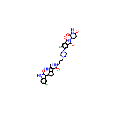 Cc1[nH]c2c(c1C(=O)NCCCN1CCN(c3cc4c(cc3F)C(=O)N(C3CCC(=O)NC3=O)C4=O)CC1)CC/C2=C1/C(=O)Nc2ccc(F)cc21